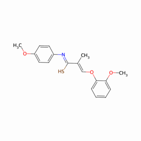 COc1ccc(/N=C(S)/C(C)=C/Oc2ccccc2OC)cc1